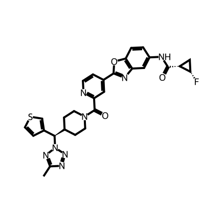 Cc1nnn([C@@H](c2ccsc2)C2CCN(C(=O)c3cc(-c4nc5cc(NC(=O)[C@@H]6C[C@@H]6F)ccc5o4)ccn3)CC2)n1